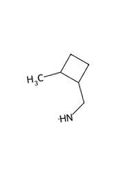 CC1CCC1C[NH]